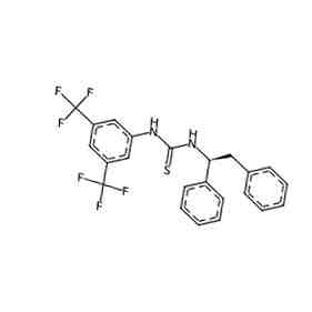 FC(F)(F)c1cc(NC(=S)N[C@@H](Cc2ccccc2)c2ccccc2)cc(C(F)(F)F)c1